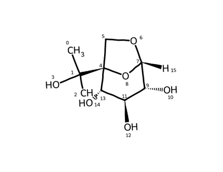 CC(C)(O)[C@@]12CO[C@@H](O1)[C@H](O)[C@@H](O)[C@@H]2O